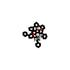 c1ccc(-c2ccc(-c3nc(-c4ccccc4)nc(-n4c5ccccc5c5ccc6c(c7ccccc7n6-c6c(-c7ccccc7)cccc6-c6ccccc6)c54)n3)cc2)cc1